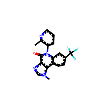 Cc1ncccc1-n1c(=O)c2ncn(C)c2c2ccc(C(F)(F)F)cc21